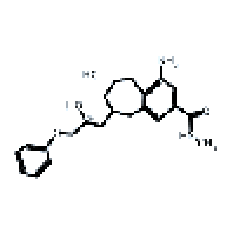 CNC(=O)c1cc(N)c2c(c1)CC(C[C@H](O)COc1ccccc1)CCC2.Cl